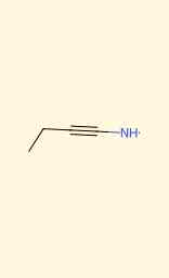 CCC#C[NH]